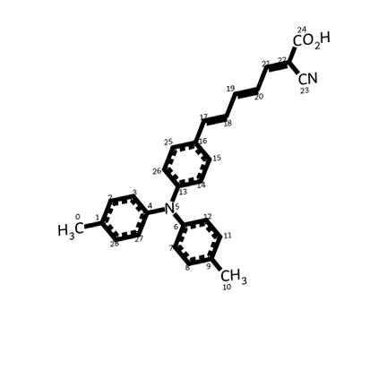 Cc1ccc(N(c2ccc(C)cc2)c2ccc(/C=C/C=C/C=C(\C#N)C(=O)O)cc2)cc1